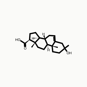 CC1(O)CC[C@@]2(C)C(=CC[C@H]3[C@@H]4CC[C@H](C(=O)O)[C@@]4(C)CC[C@@H]32)C1